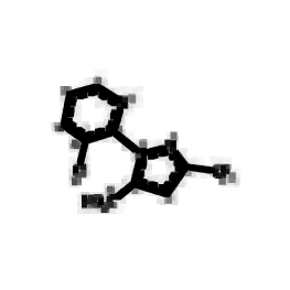 O=C(O)c1cc(C(F)(F)F)nn1-c1ncccc1Cl